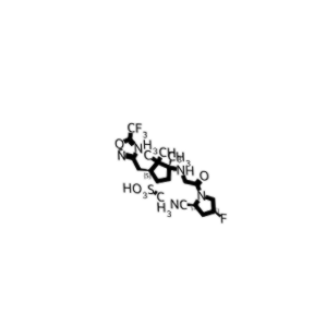 CC1(C)[C@H](Cc2noc(C(F)(F)F)n2)CC[C@]1(C)NCC(=O)N1C[C@@H](F)C[C@H]1C#N.CS(=O)(=O)O